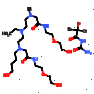 CCC(Br)(CC)C(=O)NC(N)=O.CCN(CCN(CCN(CCCCO)CC(=O)NCCOCCO)CC(=O)O)CC(=O)NCCOCCO